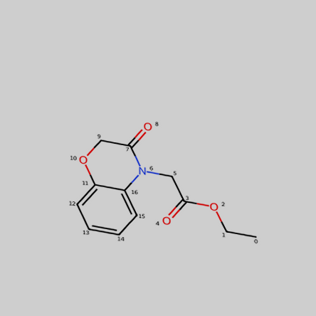 CCOC(=O)CN1C(=O)COc2ccccc21